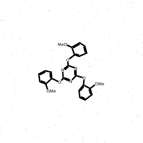 COc1ccccc1Oc1nc(Oc2ccccc2OC)nc(Oc2ccccc2OC)n1